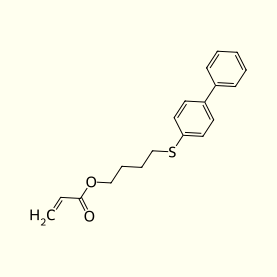 C=CC(=O)OCCCCSc1ccc(-c2ccccc2)cc1